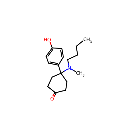 CCCCN(C)C1(c2ccc(O)cc2)CCC(=O)CC1